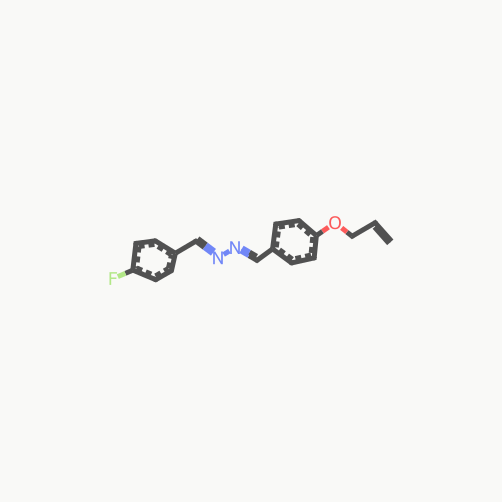 C=CCOc1ccc(/C=N/N=C/c2ccc(F)cc2)cc1